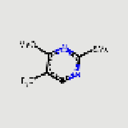 COc1nc(SC)ncc1C(F)(F)F